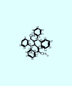 CC(C)=C(O)C(C(CO)P(c1ccccc1)c1ccccc1)P(c1ccccc1)c1ccccc1